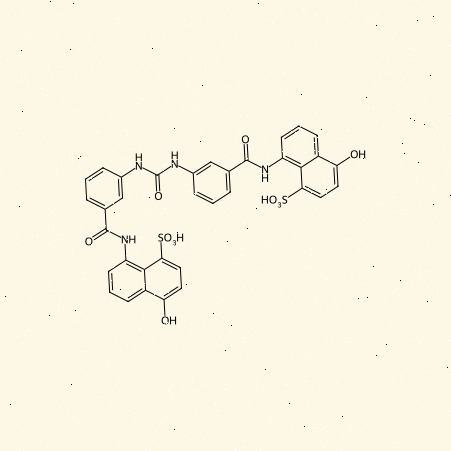 O=C(Nc1cccc(C(=O)Nc2cccc3c(O)ccc(S(=O)(=O)O)c23)c1)Nc1cccc(C(=O)Nc2cccc3c(O)ccc(S(=O)(=O)O)c23)c1